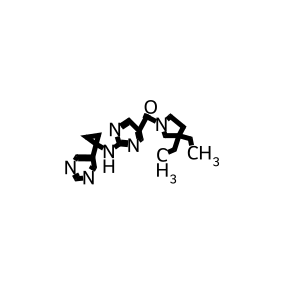 CCC1(CC)CCN(C(=O)c2cnc(NC3(c4cncnc4)CC3)nc2)C1